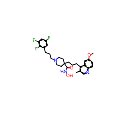 COc1ccc2ncc(C)c(CCCC3(C(=O)NO)CCN(CCCc4cc(F)cc(F)c4F)CC3)c2c1